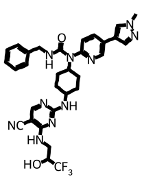 Cn1cc(-c2ccc(N(C(=O)NCc3ccccc3)C3CCC(Nc4ncc(C#N)c(NCC(O)C(F)(F)F)n4)CC3)nc2)cn1